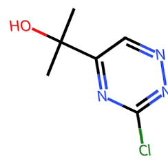 CC(C)(O)c1cnnc(Cl)n1